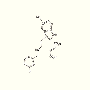 N#Cc1cnc2[nH]cc(CCNCc3cccc(F)c3)c2c1.O=C(O)/C=C/C(=O)O